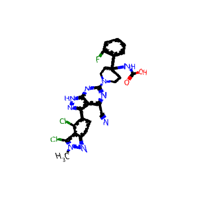 Cn1nc2ccc(-c3n[nH]c4nc(N5CCC(NC(=O)O)(c6ccccc6F)CC5)nc(C#N)c34)c(Cl)c2c1Cl